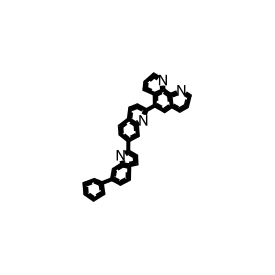 c1ccc(-c2ccc3ccc(-c4ccc5ccc(-c6cc7cccnc7c7ncccc67)nc5c4)nc3c2)cc1